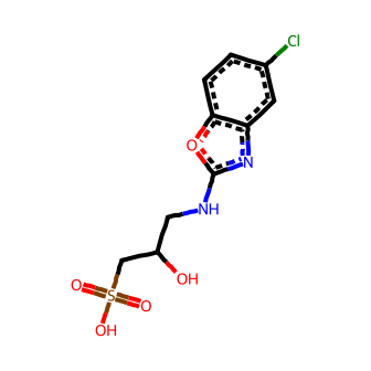 O=S(=O)(O)CC(O)CNc1nc2cc(Cl)ccc2o1